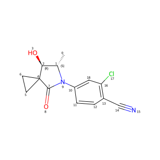 C[C@H]1[C@H](O)C2(CC2)C(=O)N1c1ccc(C#N)c(Cl)c1